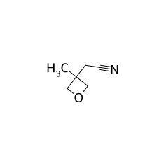 CC1(CC#N)COC1